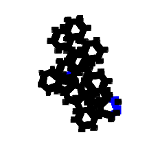 c1ccc(-n2c3ccccc3c3cc4c(cc32)C2(c3ccccc3-4)c3cc(-c4c5ccccc5c(-c5cccc6ccccc56)c5ccccc45)ccc3-c3nnccc32)cc1